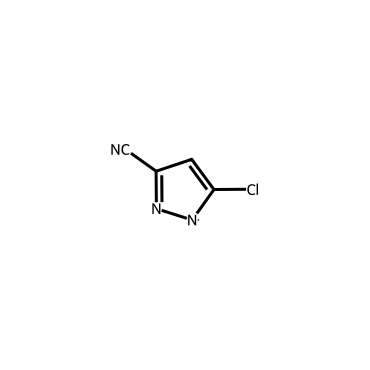 N#CC1=N[N]C(Cl)=C1